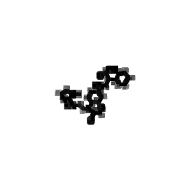 O=C(O)C(CNc1ccc2c(c1)OCC(=O)N2CCNc1ncc[nH]1)c1ccccc1